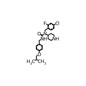 CC(C)COc1ccc(CNC(=O)N(Cc2ccc(Cl)cc2F)C2CCNCC2)cc1